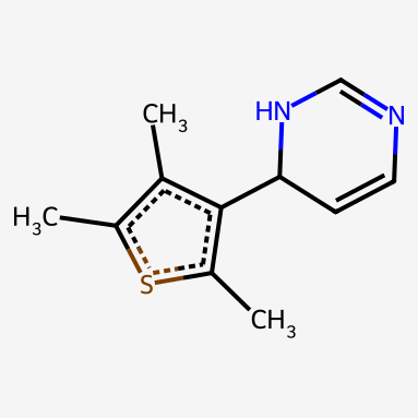 Cc1sc(C)c(C2C=CN=CN2)c1C